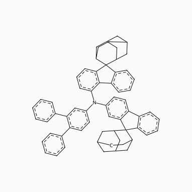 c1ccc(-c2ccc(N(c3ccc4c(c3)C3(c5ccccc5-4)C4CCC5CC(C4)CC3C5)c3cccc4c3-c3ccccc3C43C4CCC5CC(C4)CC3C5)cc2-c2ccccc2)cc1